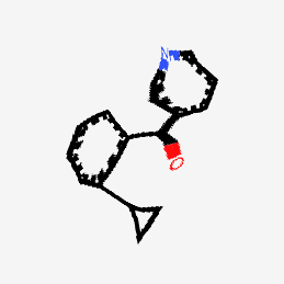 O=C(c1cccnc1)c1ccccc1C1CC1